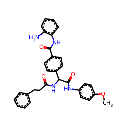 COc1ccc(NC(=O)C(NC(=O)CCc2ccccc2)c2ccc(C(=O)Nc3ccccc3N)cc2)cc1